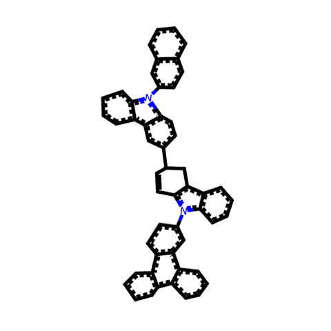 C1=CC(c2ccc3c(c2)c2ccccc2n3-c2ccc3ccccc3c2)Cc2c1n(-c1ccc3c4ccccc4c4ccccc4c3c1)c1ccccc21